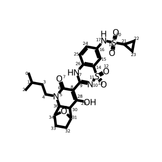 CC(C)CCN1C(=O)C(C2=NS(=O)(=O)c3cc(NS(=O)(=O)C4CC4)ccc3N2)=C(O)C2C3CCC(O3)C21